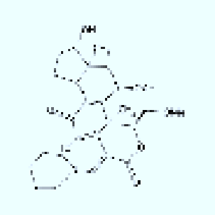 COC[C@H]1OC(=O)/C(=C/N2CCCCC2)C2=C(O)C(=O)C3=C([C@H](OC(C)=O)C[C@@]4(C)C3CC[C@@H]4O)[C@]21C